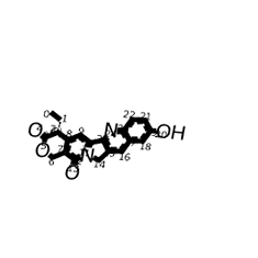 CC[C@H]1C(=O)OCc2c1cc1n(c2=O)Cc2cc3cc(O)ccc3nc2-1